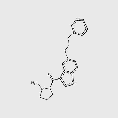 CN1CCC[C@@H]1C(=O)c1c[nH]c2ccc(CCCc3ccccc3)cc12